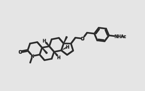 CC(=O)Nc1ccc(COCC2CC[C@H]3[C@@H]4CCC5N(C)C(=O)CC[C@]5(C)[C@@H]4CC[C@]23C)cc1